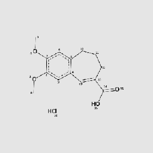 COc1cc2c(cc1OC)CCCC(C(=O)O)=C2.Cl